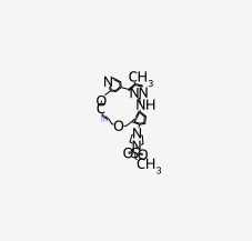 CCS(=O)(=O)N1CCN(c2ccc3cc2COC/C=C/COCc2cc(ccn2)-c2nc(ncc2C)N3)CC1